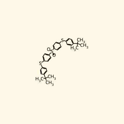 CC(C)(C)c1ccc(Sc2ccc(S(=O)(=O)c3ccc(Sc4ccc(C(C)(C)C)cc4)cc3)cc2)cc1